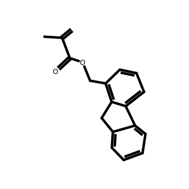 C=C(C)C(=O)OCc1cccc2c1Cc1ccccc1-2